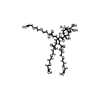 C#CCOCCOCCNC(=O)CCC(CCC(=O)NCCOCCOCC#C)(CCC(=O)NCCOCCOCC#C)NC(=O)C1(CCC)CCC(C)(OP(=O)(O)C(C)(C)C)CC1